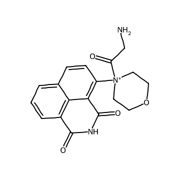 NCC(=O)[N+]1(c2ccc3cccc4c3c2C(=O)NC4=O)CCOCC1